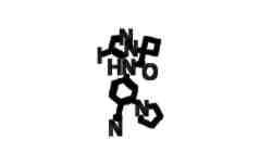 N#Cc1ccc(NC(=O)C2(n3cc(I)cn3)CCC2)cc1N1CCCC1